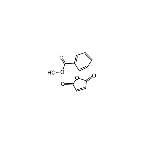 O=C(OO)c1ccccc1.O=C1C=CC(=O)O1